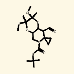 COC1(C)OC2CN(C(=O)OC(C)(C)C)C3(CC3)C(C=O)C2OC1(C)OC